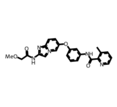 COCC(=O)Nc1cn2cc(Oc3cccc(NC(=O)c4ncccc4C)c3)ccc2n1